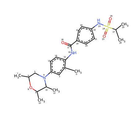 Cc1cc(N2CC(C)OC(C)C2C)ccc1NC(=O)c1ccc(NS(=O)(=O)C(C)C)cc1